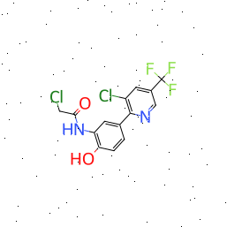 O=C(CCl)Nc1cc(-c2ncc(C(F)(F)F)cc2Cl)ccc1O